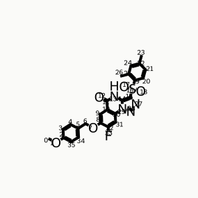 COc1ccc(COc2cc3c(=O)[nH]c4c(S(=O)(=O)c5ccc(C)cc5C)nnn4c3cc2F)cc1